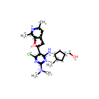 Cc1cc2cc(-c3c(Cl)nc(N(C)C)nc3N[C@@H]3C[C@H](CO)C[C@H]3C)oc2c(C)n1